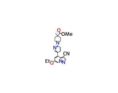 CCOc1cc(-c2ccc(N3CCC(C)(C(=O)OC)CC3)nc2)c2c(C#N)cnn2c1